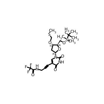 CSCO[C@H]1C[C@H](n2cc(C#CCNC(=O)C(F)(F)F)c(=O)[nH]c2=O)O[C@@H]1CO[Si](C)(C)C(C)(C)C